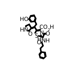 O=C(CCc1ccccc1)N[C@@H]1C(=O)N2C(C(=O)O)=C(C(Cc3cccc(O)c3)=C3CCNC3=O)CS[C@H]12